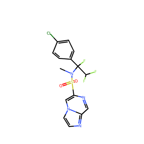 CN(C(F)(c1ccc(Cl)cc1)C(F)F)S(=O)(=O)c1cn2ccnc2cn1